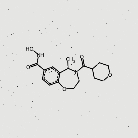 CC1c2cc(C(=O)NO)ccc2OCCN1C(=O)C1CCOCC1